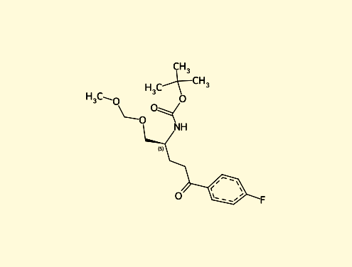 COCOC[C@H](CCC(=O)c1ccc(F)cc1)NC(=O)OC(C)(C)C